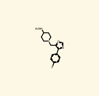 CC(=O)NC1CCN(Cc2ocnc2-c2ccc(F)cc2)CC1